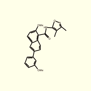 COc1cccc(-c2ccc3c(C(=O)Nc4onc(C)c4C)c(OC)ccc3c2)c1